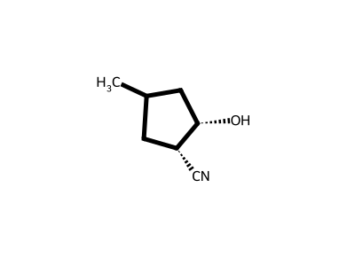 CC1C[C@@H](C#N)[C@@H](O)C1